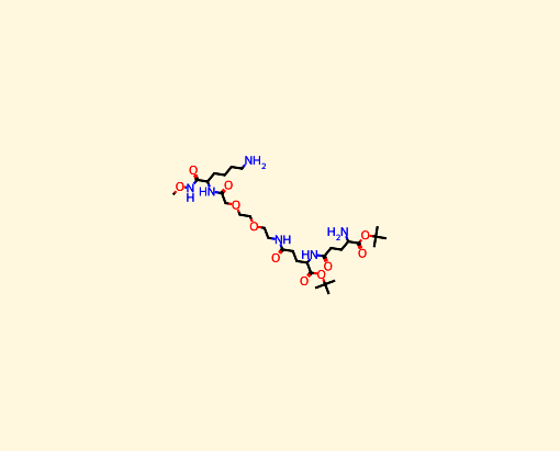 CONC(=O)C(CCCCN)NC(=O)COCCOCCNC(=O)CCC(NC(=O)CCC(N)C(=O)OC(C)(C)C)C(=O)OC(C)(C)C